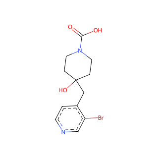 O=C(O)N1CCC(O)(Cc2ccncc2Br)CC1